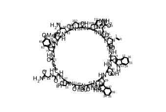 C=C[C@@H]1C[C@H]2C(=O)N[C@@H](Cc3c[nH]c4ccccc34)C(=O)N[C@@H](CO)C(=O)N[C@@H](Cc3c[nH]c4ccccc34)C(=O)N(C)[C@@H](CCCC)C(=O)N(C)[C@@H](CCCC)C(=O)N[C@@H](CC(C)C)C(=O)N[C@H](C(=O)NCC(N)=O)CSCC(=O)N[C@@H](Cc3ccc(OC)cc3)C(=O)N(C)[C@@H](C=C)C(=O)N[C@@H](CC(N)=O)C(=O)N3CCCC3C(=O)N[C@@H](Cc3c[nH]cn3)C(=O)N[C@@H](CCC(N)=O)C(=O)N2C1